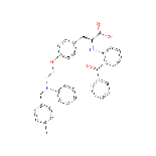 Cc1ccc(CN(CCOc2ccc(C[C@H](Nc3ccccc3C(=O)c3ccccc3)C(=O)O)cc2)c2ccccc2)cc1